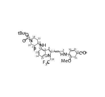 COC1=C(NCC#Cc2cc3c(N[C@@H]4CCN(C(=O)OC(C)(C)C)C[C@@H]4F)cccc3n2CC(F)(F)F)C=CC(=C=O)C1